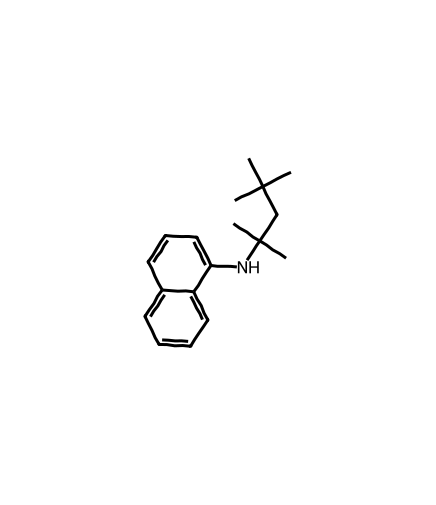 CC(C)(C)CC(C)(C)Nc1cccc2ccccc12